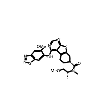 COC[C@@H](C)N(C)C(=O)[C@H]1CCc2c(sc3ncnc(Nc4cc5snnc5cc4OC)c23)C1